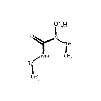 C[Te]NC(=O)N([Te]C)C(=O)O